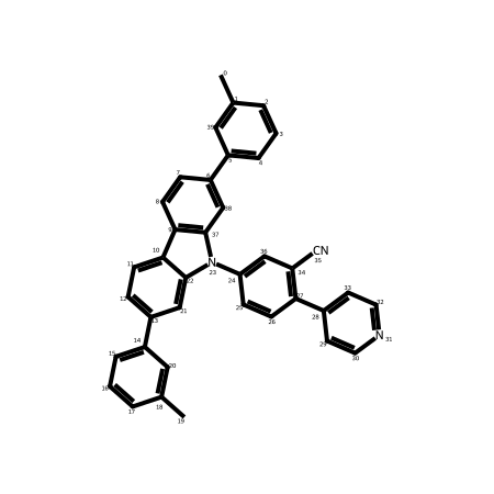 Cc1cccc(-c2ccc3c4ccc(-c5cccc(C)c5)cc4n(-c4ccc(-c5ccncc5)c(C#N)c4)c3c2)c1